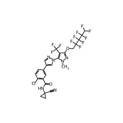 Cn1nc(OCC(F)(F)C(F)(F)C(F)(F)C(F)F)c(C(F)(F)F)c1-n1cc(-c2ccc(Cl)c(C(=O)NC3(C#N)CC3)c2)cn1